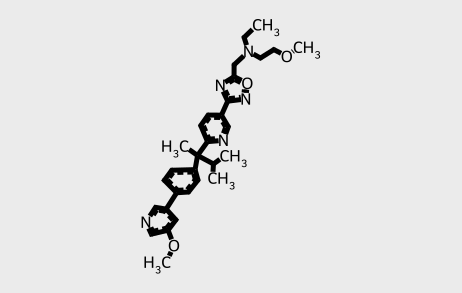 CCN(CCOC)Cc1nc(-c2ccc(C(C)(c3ccc(-c4cncc(OC)c4)cc3)C(C)C)nc2)no1